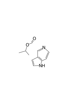 CC(C)OC=O.c1cc2[nH]ccc2cn1